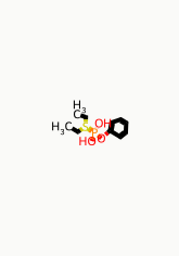 CCS(CC)=P(O)(O)Oc1ccccc1